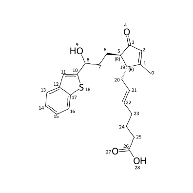 CC1=CC(=O)[C@H](CCC(O)c2cc3ccccc3s2)[C@H]1CC=CCCCC(=O)O